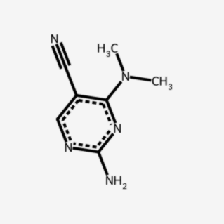 CN(C)c1nc(N)ncc1C#N